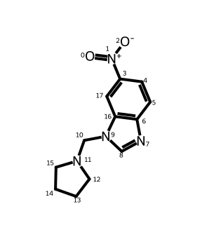 O=[N+]([O-])c1ccc2ncn(CN3CCCC3)c2c1